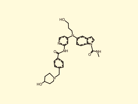 CNC(=O)n1ccc2cc(N(CCCO)c3ccnc(NC(=O)c4ccc(CN5CCC(O)CC5)cc4)c3)ccc21